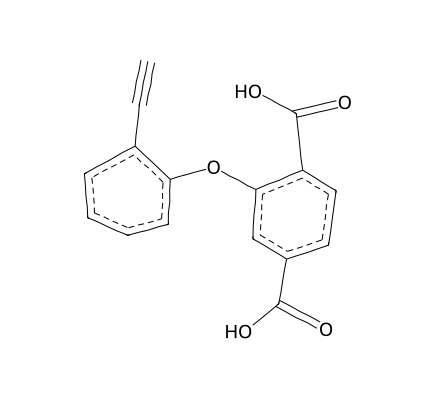 C#Cc1ccccc1Oc1cc(C(=O)O)ccc1C(=O)O